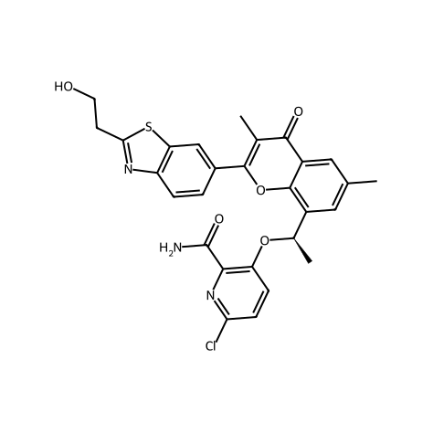 Cc1cc([C@@H](C)Oc2ccc(Cl)nc2C(N)=O)c2oc(-c3ccc4nc(CCO)sc4c3)c(C)c(=O)c2c1